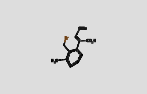 COC=C(C(=O)O)c1cccc(C)c1CBr